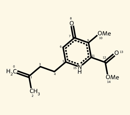 C=C(C)CCc1cc(=O)c(OC)c(C(=O)OC)[nH]1